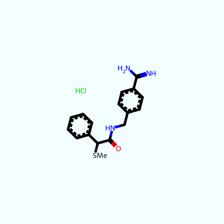 CSC(C(=O)NCc1ccc(C(=N)N)cc1)c1ccccc1.Cl